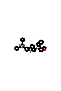 c1ccc(-c2nc(-c3ccccc3)nc(-c3ccc4c(c3)-c3cccc5c(-n6c7ccc8ccccc8c7c7c8ccccc8ccc76)ccc(c35)S4)n2)cc1